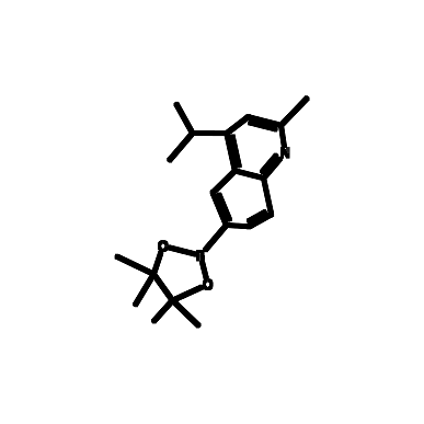 Cc1cc(C(C)C)c2cc(B3OC(C)(C)C(C)(C)O3)ccc2n1